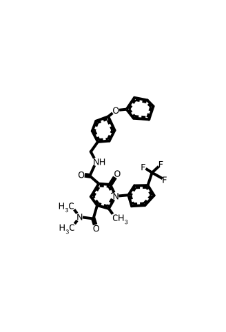 Cc1c(C(=O)N(C)C)cc(C(=O)NCc2ccc(Oc3ccccc3)cc2)c(=O)n1-c1cccc(C(F)(F)F)c1